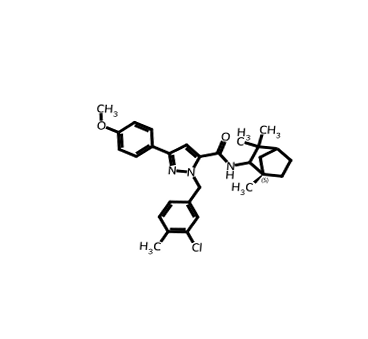 COc1ccc(-c2cc(C(=O)NC3C(C)(C)C4CC[C@@]3(C)C4)n(Cc3ccc(C)c(Cl)c3)n2)cc1